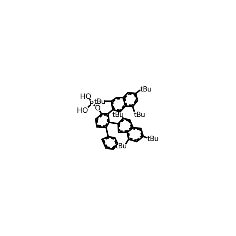 CC(C)(C)c1cc(C(C)(C)C)c2cc(-c3c(OP(O)O)ccc(-c4ccccc4)c3-c3cc4c(C(C)(C)C)cc(C(C)(C)C)cc4cc3C(C)(C)C)c(C(C)(C)C)cc2c1